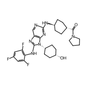 O=C([C@H]1CC[C@H](Nc2ncc3nc(Nc4c(F)cc(F)cc4F)n([C@H]4CC[C@@H](O)CC4)c3n2)CC1)N1CCCC1